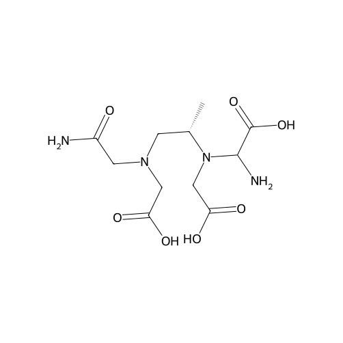 C[C@@H](CN(CC(N)=O)CC(=O)O)N(CC(=O)O)C(N)C(=O)O